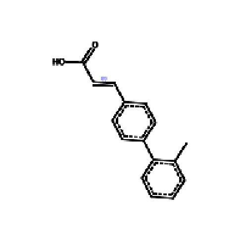 Cc1ccccc1-c1ccc(/C=C/C(=O)O)cc1